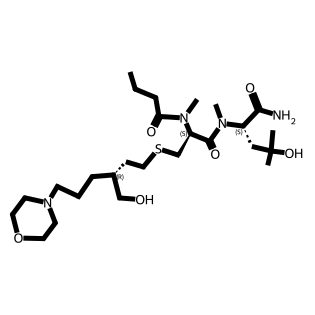 CCCC(=O)N(C)[C@H](CSCC[C@H](CO)CCCN1CCOCC1)C(=O)N(C)[C@@H](CC(C)(C)O)C(N)=O